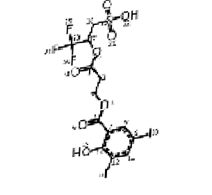 O=C(CCOC(=O)c1cc(I)cc(I)c1O)OC(CS(=O)(=O)O)C(F)(F)F